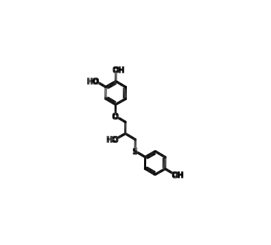 Oc1ccc(SCC(O)COc2ccc(O)c(O)c2)cc1